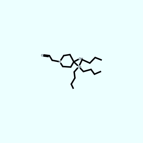 CCC[CH2][Sn]([CH2]CCC)([CH2]CCC)[C]1(O)CCN(CC=O)CC1